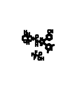 Cc1cc(-c2sc(NC(=O)N3C[C@@H]4NCCO[C@H]4C3)nc2-c2cccc(C#N)c2)cc(C)n1.O=C(O)C(F)(F)F